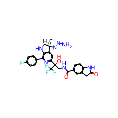 C[C@@]1(N=NN)CNc2c1cc([C@](O)(CNC(=O)c1ccc3c(c1)CC(=O)N3)C(F)(F)F)nc2-c1ccc(F)cc1